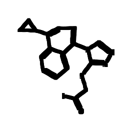 O=C(I)CSc1nncn1-c1ccc(C2CC2)c2ccccc12